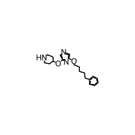 c1ccc(CCCCCOc2cncc(OC3CCNCC3)n2)cc1